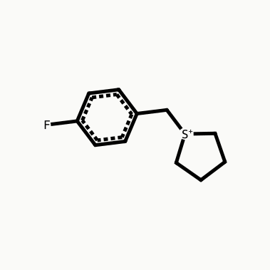 Fc1ccc(C[S+]2CCCC2)cc1